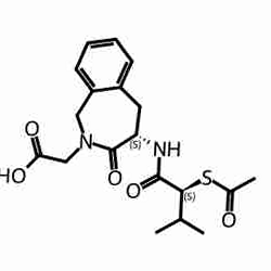 CC(=O)S[C@H](C(=O)N[C@H]1Cc2ccccc2CN(CC(=O)O)C1=O)C(C)C